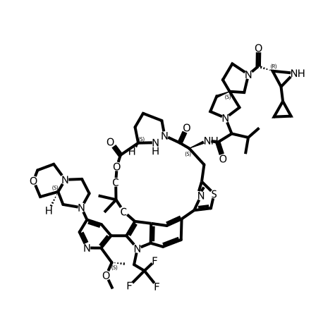 CO[C@@H](C)c1ncc(N2CCN3CCOC[C@@H]3C2)cc1-c1c2c3cc(ccc3n1CC(F)(F)F)-c1csc(n1)C[C@H](NC(=O)C(C(C)C)N1CC[C@]3(CCN(C(=O)[C@@H]4NC4C4CC4)C3)C1)C(=O)N1CCC[C@H](N1)C(=O)OCC(C)(C)C2